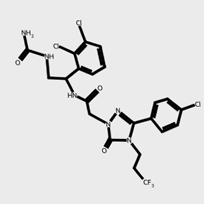 NC(=O)NCC(NC(=O)Cn1nc(-c2ccc(Cl)cc2)n(CCC(F)(F)F)c1=O)c1cccc(Cl)c1Cl